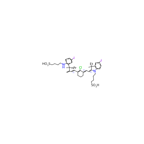 C=C(/C=C/C1=C(Cl)C(=C/C=C2/N(CCCCS(=O)(=O)O)c3ccc(I)cc3C2(C)CC)/CCC1)C(C)(CCC)c1cc(I)ccc1NCCCCS(=O)(=O)O